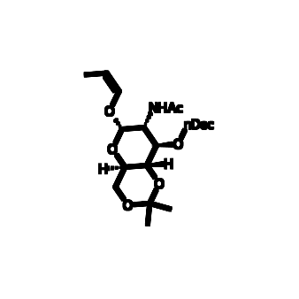 C/C=C\O[C@H]1O[C@@H]2COC(C)(C)O[C@H]2[C@H](OCCCCCCCCCC)[C@H]1NC(C)=O